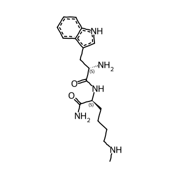 CNCCCC[C@H](NC(=O)[C@@H](N)Cc1c[nH]c2ccccc12)C(N)=O